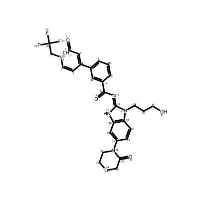 CN(/C=C\C(=C/C=O)c1cccc(C(=O)/N=c2\[nH]c3cc(N4CCOCC4=O)ccc3n2CCCO)c1)CC(F)(F)F